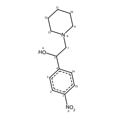 O=[N+]([O-])c1ccc(C(O)CN2CCCCC2)cc1